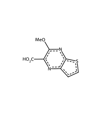 COc1nc2sccc2nc1C(=O)O